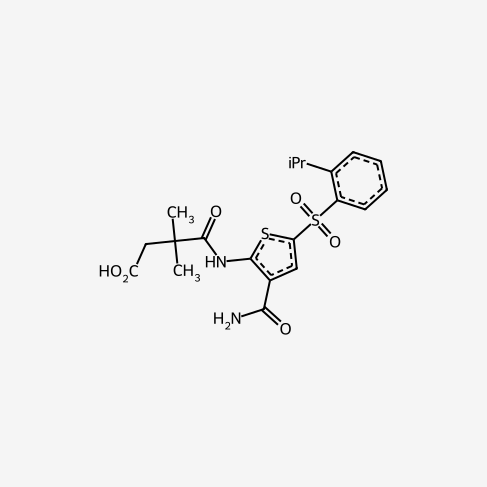 CC(C)c1ccccc1S(=O)(=O)c1cc(C(N)=O)c(NC(=O)C(C)(C)CC(=O)O)s1